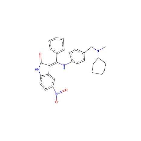 CN(Cc1ccc(NC(=C2C(=O)Nc3ccc([N+](=O)[O-])cc32)c2ccccc2)cc1)C1CCCCC1